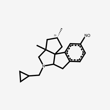 C[C@H]1CC2(C)CN(CC3CC3)C3Cc4ccc(N=O)cc4C32C1